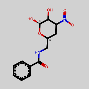 O=C(NC[C@@H]1CC([N+](=O)[O-])C(O)[C@H](O)O1)c1ccccc1